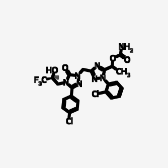 CC(OC(N)=O)c1nc(Cn2nc(-c3ccc(Cl)cc3)n(C[C@H](O)C(F)(F)F)c2=O)nn1-c1ccccc1Cl